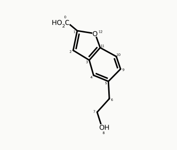 O=C(O)c1cc2cc(CCO)ccc2o1